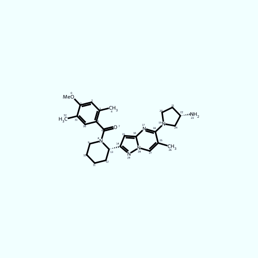 COc1cc(C)c(C(=O)N2CCCC[C@H]2c2cc3nc(N4CC[C@H](N)C4)c(C)cn3n2)cc1C